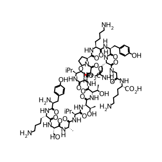 CC(C)[C@H](NC(=O)[C@H](C)NC(=O)[C@H](CO)NC(=O)[C@H](CCCCN)NC(=O)[C@@H](N)Cc1ccc(O)cc1)C(=O)N[C@H](C(=O)N[C@H](C(=O)N[C@H](C(=O)N[C@H](C(=O)N[C@@H](CC(N)=O)C(=O)N1CCC[C@H]1C(=O)N[C@@H](CCCCN)C(=O)N[C@@H](Cc1ccc(O)cc1)C(=O)N[C@@H](CCC(=O)O)C(=O)NCC(=O)N[C@@H](CCCCN)C(=O)O)C(C)C)C(C)C)[C@@H](C)O)[C@@H](C)O